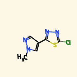 Cn1cc(-c2nnc(Cl)s2)cn1